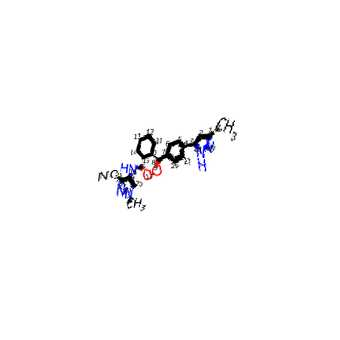 Cc1cc(-c2ccc(C(=O)[C@@H]3CCCC[C@H]3C(=O)Nc3cn(C)nc3C#N)cc2)[nH]n1